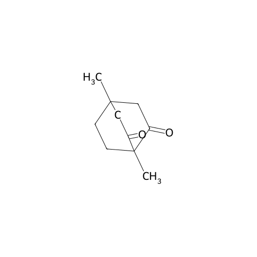 CC12CCC(C)(C(=O)C1)C(=O)C2